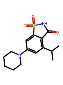 CC(C)c1cc(N2CCCCC2)cc2c1C(=O)NS2(=O)=O